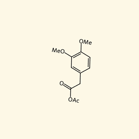 COc1ccc(CC(=O)OC(C)=O)cc1OC